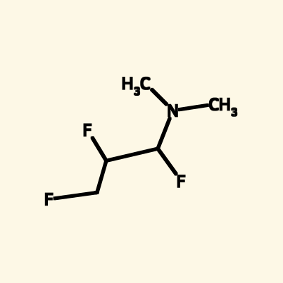 CN(C)C(F)C(F)CF